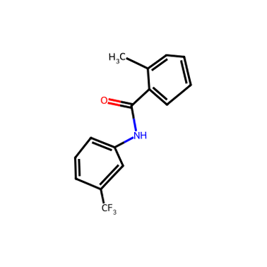 Cc1ccccc1C(=O)Nc1cccc(C(F)(F)F)c1